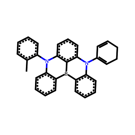 Cc1ccccc1N1c2ccccc2B2c3ccccc3N(C3=CCCC=C3)c3cccc1c32